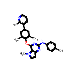 Cc1cc(-c2cccnc2C#N)cc(C)c1Oc1nc(Nc2ccc(C#N)cc2)nc2ccn(C)c12